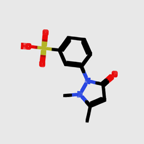 Cc1cc(=O)n(-c2cccc(S(=O)(=O)O)c2)n1C